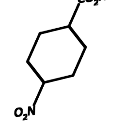 O=C(O)C1CCC([N+](=O)[O-])CC1